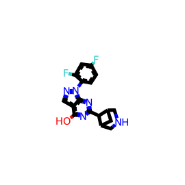 Oc1nc(C2C3CNCC2C3)nc2c1cnn2-c1ccc(F)cc1F